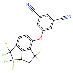 N#Cc1cc(C#N)cc(Oc2ccc3c4c2C(F)(F)CC4(F)C(F)(F)C3(F)F)c1